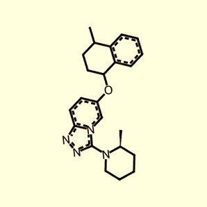 CC1CCC(Oc2ccc3nnc(N4CCCC[C@@H]4C)n3c2)c2ccccc21